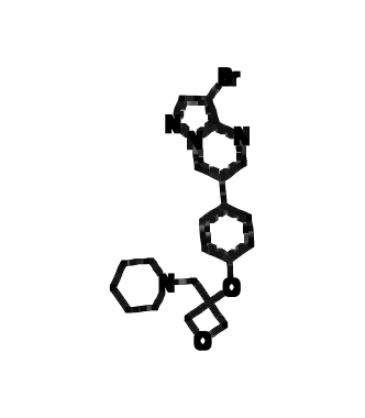 Brc1cnn2cc(-c3ccc(OC4(CN5CCCCC5)COC4)cc3)cnc12